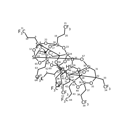 FC(F)(F)CC[SiH]1OC2(CC(F)(F)F)[Si]3(CCC(F)(F)F)O[Si]45CC6(C(F)(F)F)O[Si](CCC(F)(F)F)(O3)O[Si]23O[SiH]2OC78O[Si]9(CC(CC(F)(F)F)(O[Si]7(CCC(F)(F)F)O[Si]8(CCC(F)(F)F)OC12CCC(F)(F)F)[Si](CCC(F)(F)F)(O9)O[Si](CCC(F)(F)F)(O[Si]6(CCC(F)(F)F)O4)O3)O5